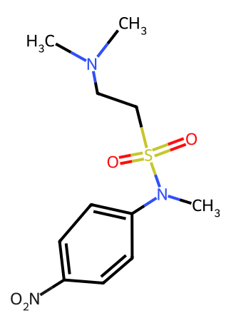 CN(C)CCS(=O)(=O)N(C)c1ccc([N+](=O)[O-])cc1